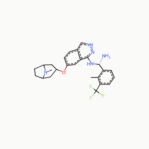 Cc1c([C@@H](N)Nc2nncc3ccc(OC4CC5CCC(C4)N5C)cc23)cccc1C(F)(F)F